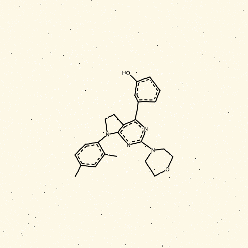 Cc1ccc(N2CCc3c(-c4cccc(O)c4)nc(N4CCOCC4)nc32)c(C)c1